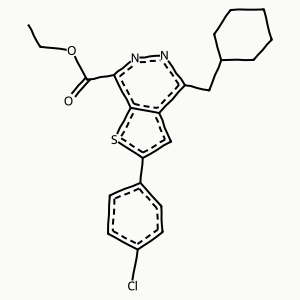 CCOC(=O)c1nnc(CC2CCCCC2)c2cc(-c3ccc(Cl)cc3)sc12